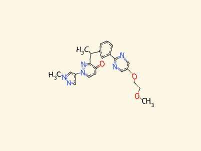 COCCOc1cnc(-c2cccc(C(C)c3nn(-c4cnn(C)c4)ccc3=O)c2)nc1